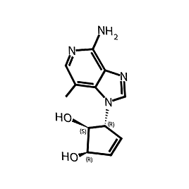 Cc1cnc(N)c2ncn([C@@H]3C=C[C@@H](O)[C@H]3O)c12